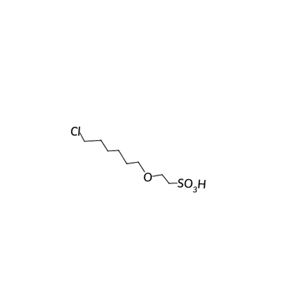 O=S(=O)(O)CCOCCCCCCCl